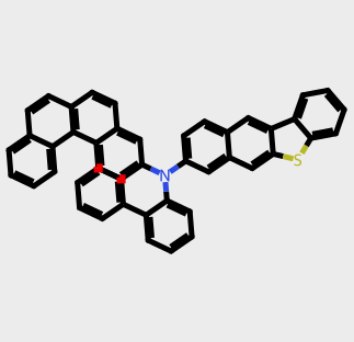 c1ccc(-c2ccccc2N(c2ccc3cc4c(cc3c2)sc2ccccc24)c2ccc3c(ccc4ccc5ccccc5c43)c2)cc1